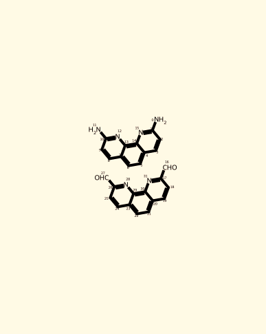 Nc1ccc2ccc3ccc(N)nc3c2n1.O=Cc1ccc2ccc3ccc(C=O)nc3c2n1